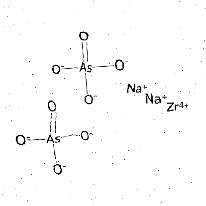 O=[As]([O-])([O-])[O-].O=[As]([O-])([O-])[O-].[Na+].[Na+].[Zr+4]